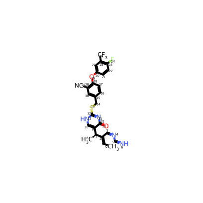 C/C=C(\C=N/C=N)[C@@H](C)c1c[nH]c(SCc2ccc(Oc3ccc(F)c(C(F)(F)F)c3)c(C#N)c2)nc1=O